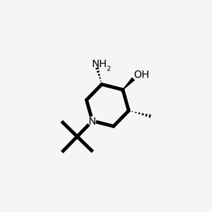 C[C@@H]1CN(C(C)(C)C)C[C@H](N)[C@H]1O